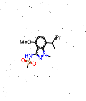 COc1ccc(C(C)C(C)C)c2c1c(NS(C)(=O)=O)nn2C